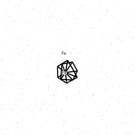 [CH]12[CH]3[CH]4[CH]5[CH]1[Fe]23451678[CH]2[CH]1[CH]6[CH]7[CH]28.[Fe]